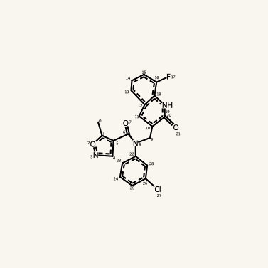 Cc1oncc1C(=O)N(Cc1cc2cccc(F)c2[nH]c1=O)c1cccc(Cl)c1